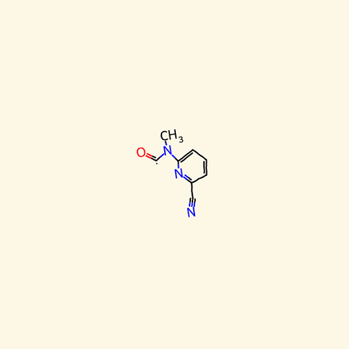 CN([C]=O)c1cccc(C#N)n1